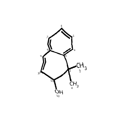 CC1(C)c2ccccc2C=CC1O